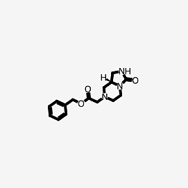 O=C(CN1CCN2C(=O)NC[C@H]2C1)OCc1ccccc1